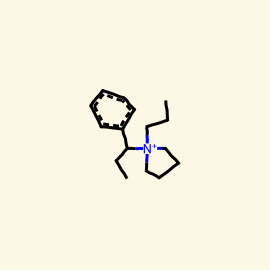 CCC[N+]1(C(CC)c2ccccc2)CCCC1